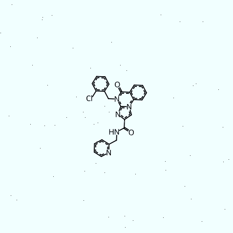 O=C(NCc1ccccn1)c1cn2c3ccccc3c(=O)n(Cc3ccccc3Cl)c2n1